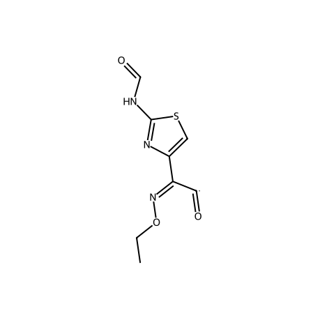 CCO/N=C(\[C]=O)c1csc(NC=O)n1